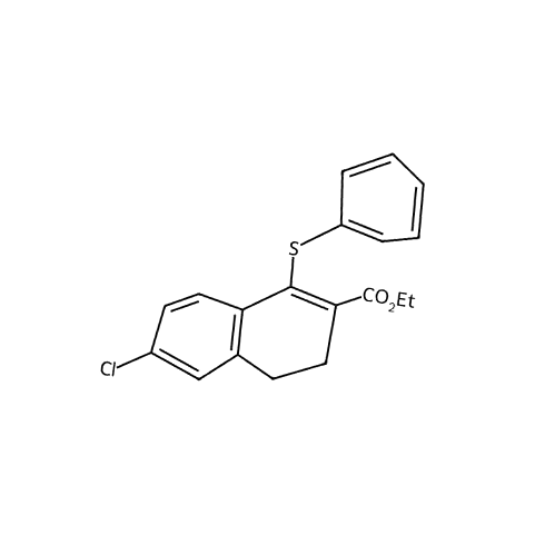 CCOC(=O)C1=C(Sc2ccccc2)c2ccc(Cl)cc2CC1